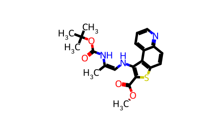 COC(=O)c1sc2ccc3ncccc3c2c1N/C=C(/C)NC(=O)OC(C)(C)C